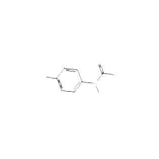 COc1ccc(N(C)C(=S)C=O)cc1